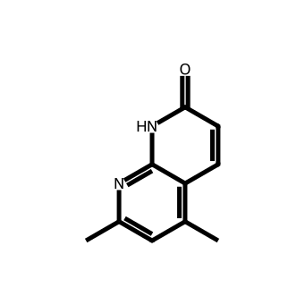 Cc1cc(C)c2ccc(=O)[nH]c2n1